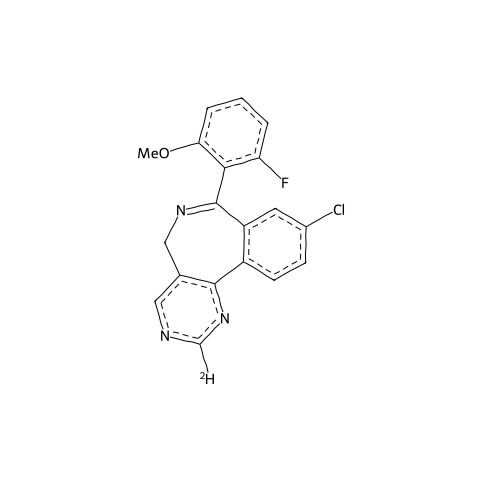 [2H]c1ncc2c(n1)-c1ccc(Cl)cc1C(c1c(F)cccc1OC)=NC2